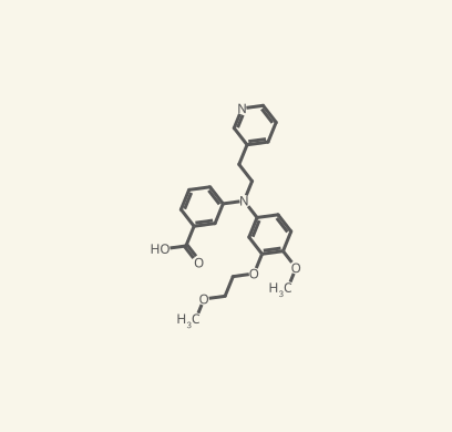 COCCOc1cc(N(CCc2cccnc2)c2cccc(C(=O)O)c2)ccc1OC